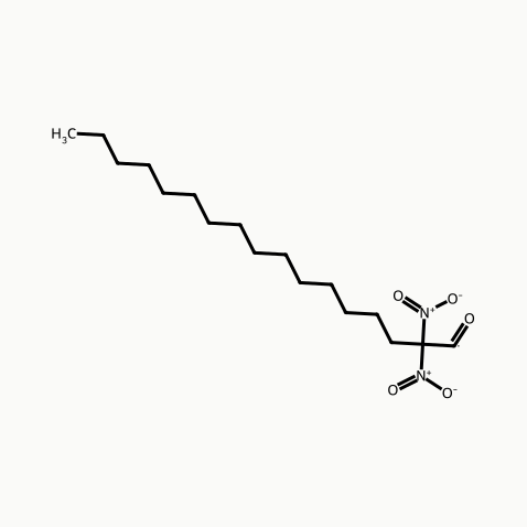 CCCCCCCCCCCCCCCC([C]=O)([N+](=O)[O-])[N+](=O)[O-]